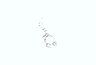 CCCN1CCN(Cc2cnc(-c3nn4c5cc(ncc35)Nc3ccnc(n3)-c3cnn(C)c3OCC[C@@H]4C)s2)CC1